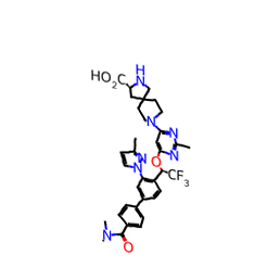 Cc1ccn(-c2cc(-c3ccc(C(=O)N(C)C)cc3)ccc2[C@@H](Oc2cc(N3CCC4(CC3)CN[C@H](C(=O)O)C4)nc(C)n2)C(F)(F)F)n1